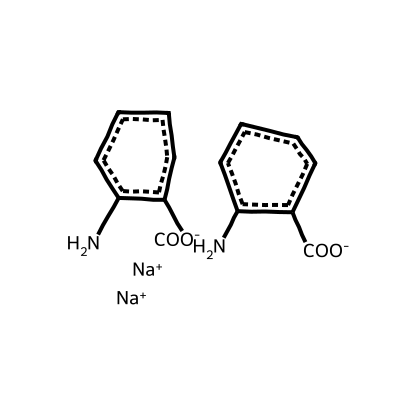 Nc1ccccc1C(=O)[O-].Nc1ccccc1C(=O)[O-].[Na+].[Na+]